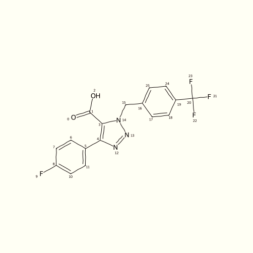 O=C(O)c1c(-c2ccc(F)cc2)nnn1Cc1ccc(C(F)(F)F)cc1